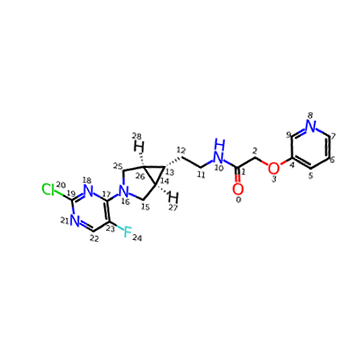 O=C(COc1cccnc1)NCC[C@@H]1[C@H]2CN(c3nc(Cl)ncc3F)C[C@@H]12